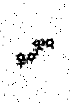 O=C1CCCC(C(=O)N[C@@]2(C(=O)NCc3ccc(Nc4ccccc4C(F)(F)F)cc3)CCOC2)C1